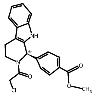 COC(=O)c1ccc([C@@H]2c3[nH]c4ccccc4c3CCN2C(=O)CCl)cc1